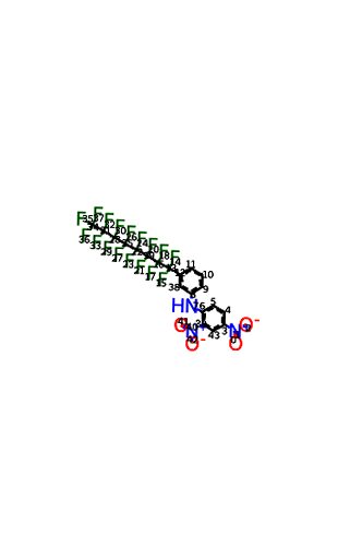 O=[N+]([O-])c1ccc(Nc2cccc(C(F)(F)C(F)(F)C(F)(F)C(F)(F)C(F)(F)C(F)(F)C(F)(F)C(F)(F)F)c2)c([N+](=O)[O-])c1